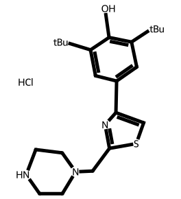 CC(C)(C)c1cc(-c2csc(CN3CCNCC3)n2)cc(C(C)(C)C)c1O.Cl